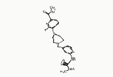 CNC(=O)Nc1cc(CN2CCN(c3ccc(C(=O)NC)nc3F)CC2)ccn1